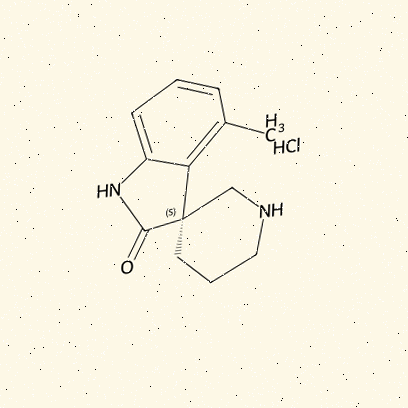 Cc1cccc2c1[C@]1(CCCNC1)C(=O)N2.Cl